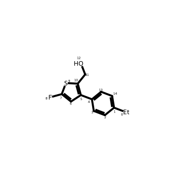 CCc1ccc(-c2cc(F)sc2CO)cc1